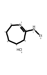 CCNC1=NCCCCC1.Cl